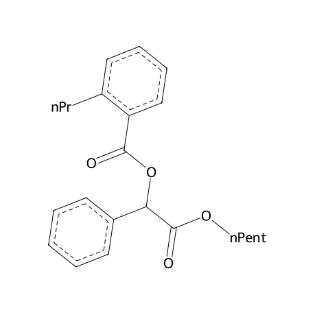 CCCCCOC(=O)C(OC(=O)c1ccccc1CCC)c1ccccc1